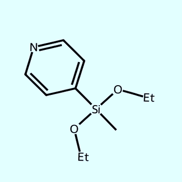 CCO[Si](C)(OCC)c1ccncc1